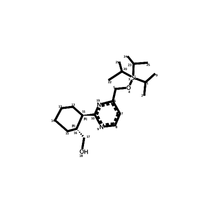 CC(C)[Si](OCc1ccnc([C@@H]2CCCC[C@H]2CO)n1)(C(C)C)C(C)C